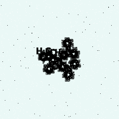 CC1(C)c2ccccc2-c2c1cc(N(c1ccc3c(c1)c1ccccc1n3-c1ccccc1)c1ccc3c4ccccc4n(-c4ccccc4)c3c1)c1oc3ccccc3c21